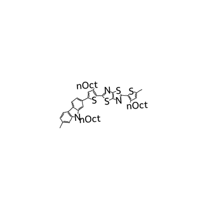 CCCCCCCCc1cc(C)sc1-c1nc2sc(-c3sc(-c4ccc5c6ccc(C)cc6n(CCCCCCCC)c5c4)cc3CCCCCCCC)nc2s1